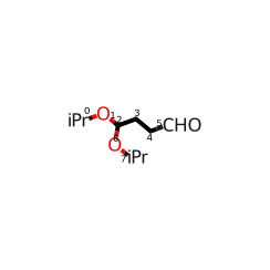 CC(C)OC(CCC=O)OC(C)C